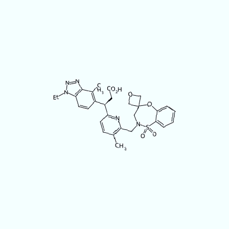 CCn1nnc2c(C)c([C@@H](CC(=O)O)c3ccc(C)c(CN4CC5(COC5)Oc5ccccc5S4(=O)=O)n3)ccc21